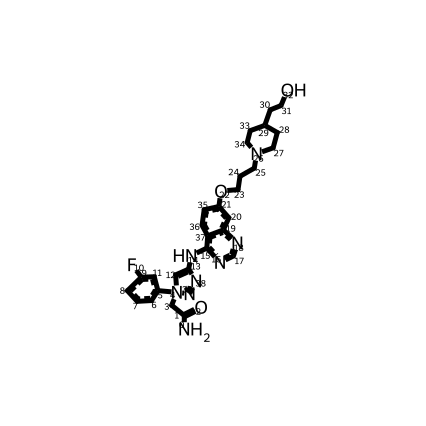 NC(=O)C[N+]1(c2cccc(F)c2)C=C(Nc2ncnc3cc(OCCCN4CCC(CCO)CC4)ccc23)N=N1